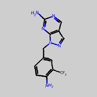 Nc1ncc2cnn(Cc3ccc(N)c(C(F)(F)F)c3)c2n1